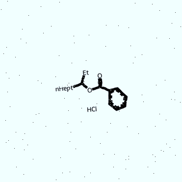 CCCCCCCC(CC)OC(=O)c1ccccc1.Cl